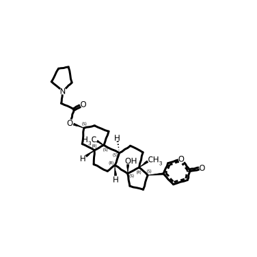 C[C@]12CC[C@H](OC(=O)CN3CCCC3)C[C@H]1CC[C@@H]1[C@@H]2CC[C@]2(C)[C@@H](c3ccc(=O)oc3)CC[C@]12O